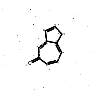 O=c1cccc2c(c1)C=CC2